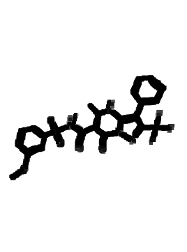 COc1cccc(S(=O)(=O)NC(=O)c2c(C)[nH]c3c(-c4ccccc4)c(C(F)(F)F)nn3c2=O)c1